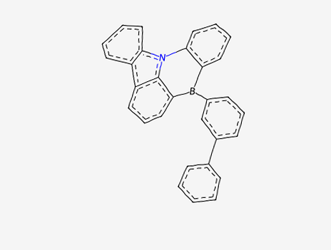 c1ccc(-c2cccc(B3c4ccccc4-n4c5ccccc5c5cccc3c54)c2)cc1